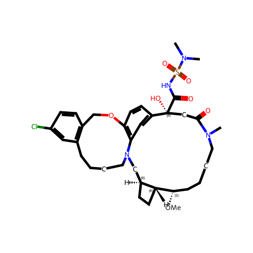 CO[C@H]1CCCCN(C)C(=O)C[C@](O)(C(=O)NS(=O)(=O)N(C)C)c2ccc3c(c2)N(CCCCc2cc(Cl)ccc2CO3)C[C@@H]2CC[C@H]21